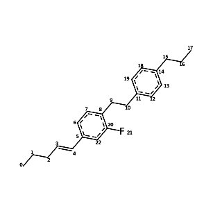 CCCC=Cc1ccc(CCc2ccc(CCC)cc2)c(F)c1